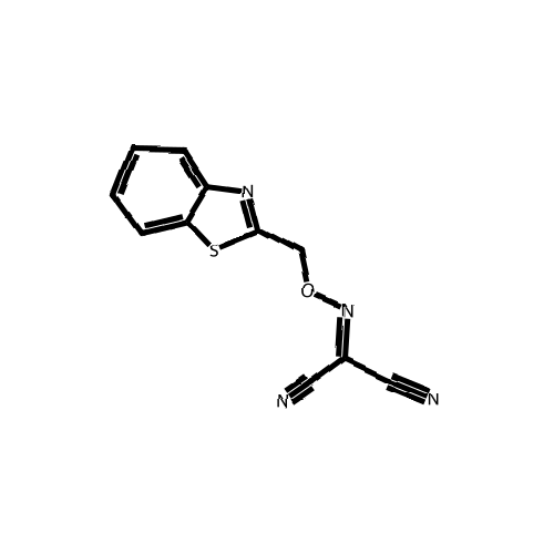 N#CC(C#N)=NOCc1nc2ccccc2s1